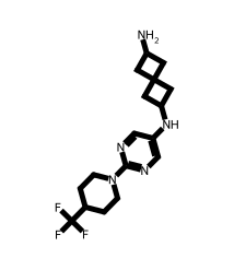 NC1CC2(C1)CC(Nc1cnc(N3CCC(C(F)(F)F)CC3)nc1)C2